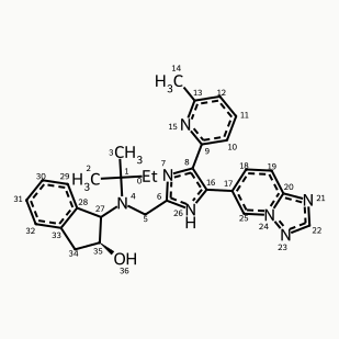 CCC(C)(C)N(Cc1nc(-c2cccc(C)n2)c(-c2ccc3ncnn3c2)[nH]1)C1c2ccccc2C[C@@H]1O